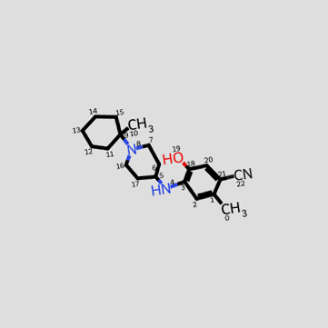 Cc1cc(NC2CCN(C3(C)CCCCC3)CC2)c(O)cc1C#N